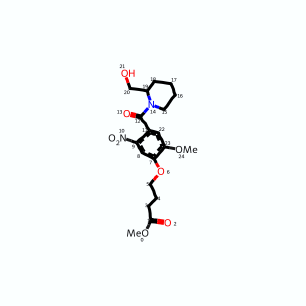 COC(=O)CCCOc1cc([N+](=O)[O-])c(C(=O)N2CCCCC2CO)cc1OC